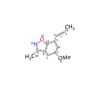 C/C=C/c1cc(OC)cc2c(C)noc12